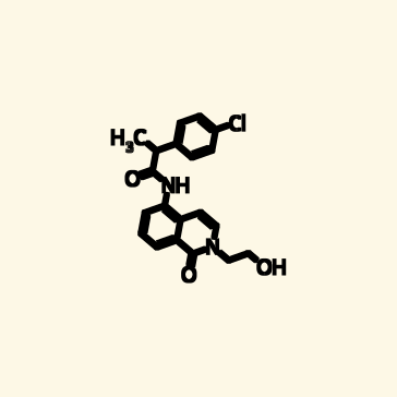 CC(C(=O)Nc1cccc2c(=O)n(CCO)ccc12)c1ccc(Cl)cc1